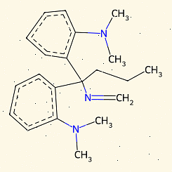 C=NC(CCC)(c1ccccc1N(C)C)c1ccccc1N(C)C